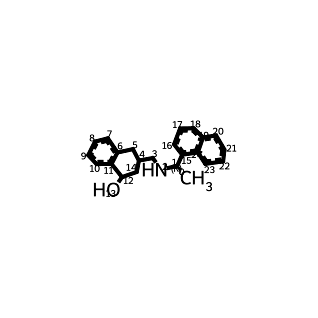 C[C@@H](NCC1Cc2ccccc2C(O)C1)c1cccc2ccccc12